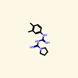 Cc1ccc(NC(=N)NC(=N)N2CCCC2)cc1C